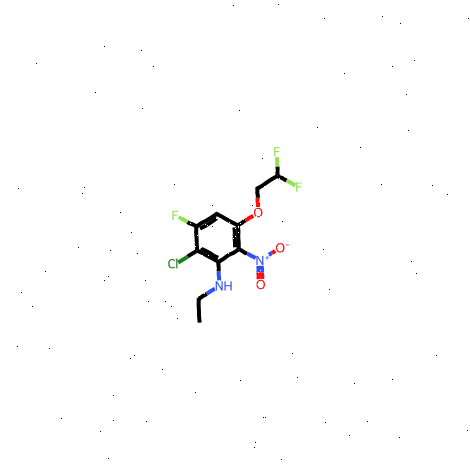 CCNc1c(Cl)c(F)cc(OCC(F)F)c1[N+](=O)[O-]